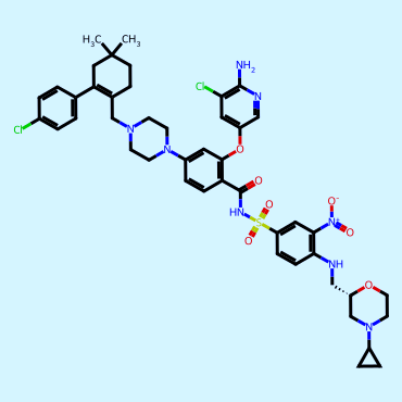 CC1(C)CCC(CN2CCN(c3ccc(C(=O)NS(=O)(=O)c4ccc(NC[C@H]5CN(C6CC6)CCO5)c([N+](=O)[O-])c4)c(Oc4cnc(N)c(Cl)c4)c3)CC2)=C(c2ccc(Cl)cc2)C1